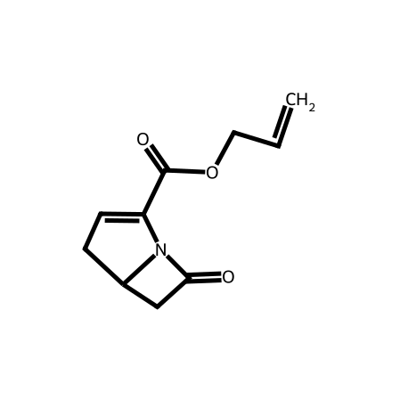 C=CCOC(=O)C1=CCC2CC(=O)N12